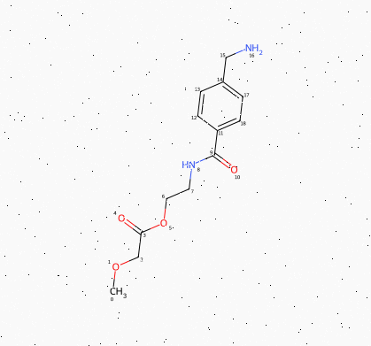 COCC(=O)OCCNC(=O)c1ccc(CN)cc1